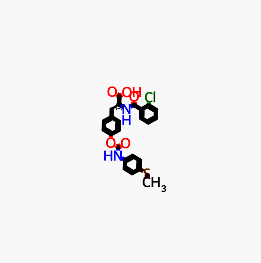 CSc1ccc(NC(=O)Oc2ccc(C[C@H](NC(=O)c3ccccc3Cl)C(=O)O)cc2)cc1